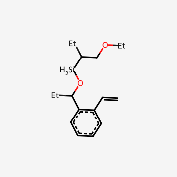 C=Cc1ccccc1C(CC)O[SiH2]C(CC)COCC